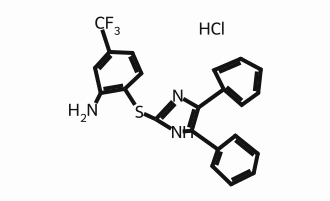 Cl.Nc1cc(C(F)(F)F)ccc1Sc1nc(-c2ccccc2)c(-c2ccccc2)[nH]1